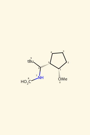 CO[C@H]1CCC[C@H]1C(NC(=O)O)C(C)(C)C